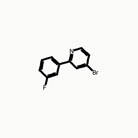 Fc1cccc(-c2cc(Br)ccn2)c1